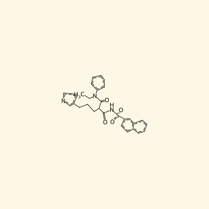 CCN(C(=O)C(CCCc1cccnc1)C(=O)NS(=O)(=O)c1ccc2ccccc2c1)c1ccccc1